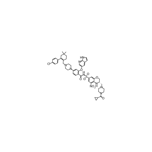 CC1(C)CCC(CN2CCN(c3ccc(C(=O)NS(=O)(=O)c4cc5c(c([N+](=O)[O-])c4)N[C@@H](CN4CCN(C(=O)C6CC6)CC4)CO5)c(Oc4cnc5[nH]ccc5c4)c3)CC2)=C(c2ccc(Cl)cc2)C1